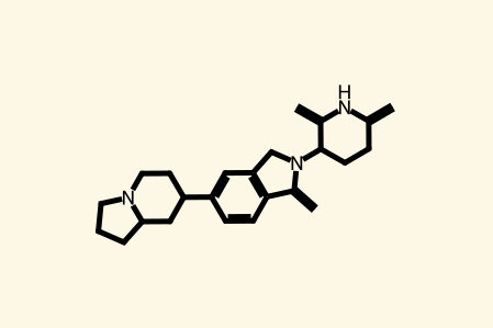 C=C1CCC(N2Cc3cc(C4CCN5CCCC5C4)ccc3C2=C)C(=C)N1